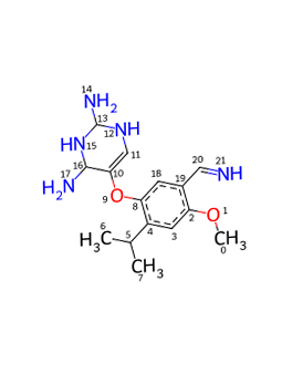 COc1cc(C(C)C)c(OC2=CNC(N)NC2N)cc1C=N